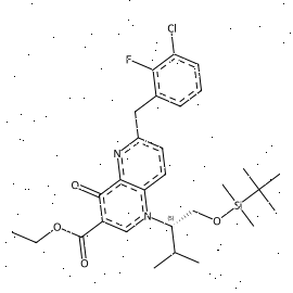 CCOC(=O)c1cn([C@H](CO[Si](C)(C)C(C)(C)C)C(C)C)c2ccc(Cc3cccc(Cl)c3F)nc2c1=O